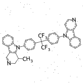 CC1CN=Cc2c1n(-c1ccc(C(c3ccc(-n4c5ccccc5c5cnccc54)cc3)(C(F)(F)F)C(F)(F)F)cc1)c1ccccc21